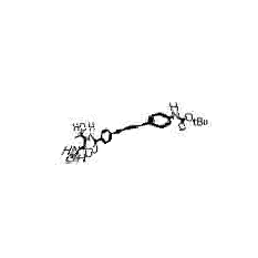 C[C@@H](O)[C@H](NC(=O)c1ccc(C#CC#Cc2ccc(NC(=O)OC(C)(C)C)cc2)cc1)C(=O)NO